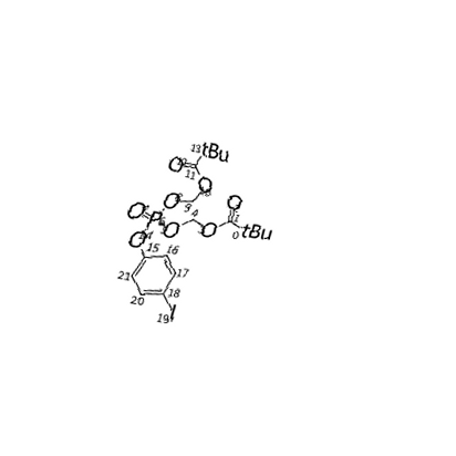 CC(C)(C)C(=O)OCOP(=O)(OCOC(=O)C(C)(C)C)Oc1ccc(I)cc1